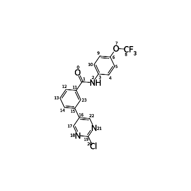 O=C(Nc1ccc(OC(F)(F)F)cc1)c1cccc(-c2cnc(Cl)nc2)c1